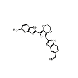 Cc1ccc2[nH]c(-c3sc(-c4nc5cc(C=N)ccc5[nH]4)c4c3OCCO4)nc2c1